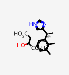 Cc1cccc([C@H](C)c2c[nH]cn2)c1C.O=C(O)CC(O)C(=O)O